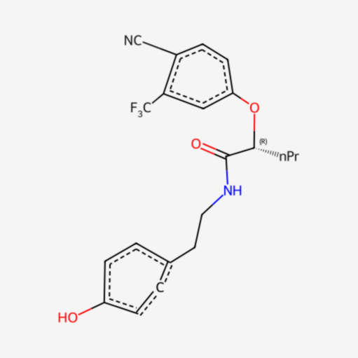 CCC[C@@H](Oc1ccc(C#N)c(C(F)(F)F)c1)C(=O)NCCc1ccc(O)cc1